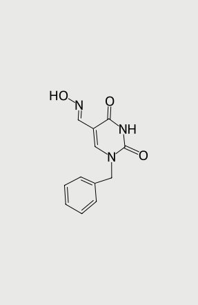 O=c1[nH]c(=O)n(Cc2ccccc2)cc1C=NO